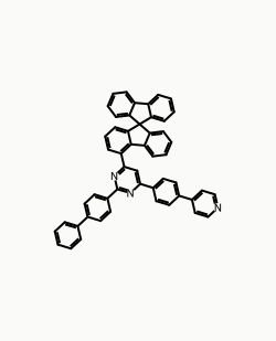 c1ccc(-c2ccc(-c3nc(-c4ccc(-c5ccncc5)cc4)cc(-c4cccc5c4-c4ccccc4C54c5ccccc5-c5ccccc54)n3)cc2)cc1